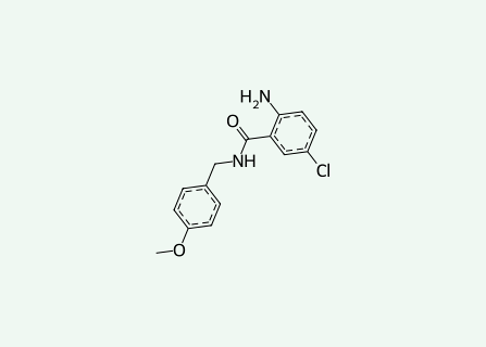 COc1ccc(CNC(=O)c2cc(Cl)ccc2N)cc1